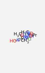 Cc1cc(Nc2ncc(Cl)c(Nc3cn(C)nc3S(=O)(=O)C(C)C)n2)c2c(c1C1CCN(CCO)CC1)CC(C)O2